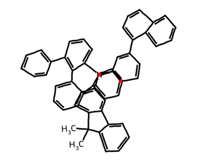 CC1(C)c2ccccc2-c2cc(N(c3cccc(-c4cccc5ccccc45)c3)c3cccc(-c4ccccc4)c3-c3ccccc3-c3ccccc3)ccc21